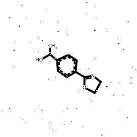 CC(O)c1ccc(C2=NCCO2)cc1